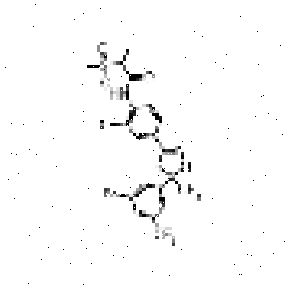 CC(C(=O)Nc1ccc(C2=NOC(c3cc(Br)cc(C(F)(F)F)c3)(C(F)(F)F)C2)cc1Cl)S(C)(=O)=O